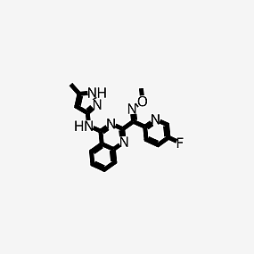 CON=C(c1ccc(F)cn1)c1nc(Nc2cc(C)[nH]n2)c2ccccc2n1